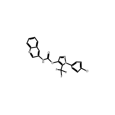 O=C(Nc1cnc2ccccc2c1)Oc1cnn(-c2ccc(Cl)cc2)c1C(F)(F)F